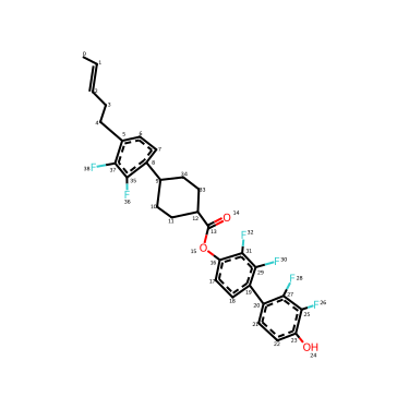 C/C=C/CCc1ccc(C2CCC(C(=O)Oc3ccc(-c4ccc(O)c(F)c4F)c(F)c3F)CC2)c(F)c1F